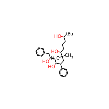 CC(C)(C)C(O)CCCC(O)C(C)(C)CC(c1ccccc1)C(O)CC(O)Cc1ccccc1